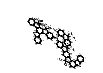 CCCCCCCC1(CCCCCCC)c2ccccc2-c2c1c1c(c3c2oc2ccccc23)-c2ccc(N(c3ccc4c(c3)C(C)(C)c3cc5c(cc3-4)C(C)(C)c3ccc4oc6ccccc6c4c3-5)c3cccc4c3-c3ccccc3C4(C)C)cc2C1(CCCCCCC)CCCCCCC